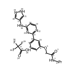 CC(C)NC(=O)COc1cccc(-c2nccc(Nc3cn[nH]c3)n2)c1.O=C(O)C(F)(F)F